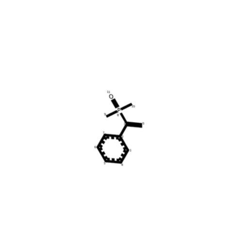 C=C(c1ccccc1)P(C)(C)=O